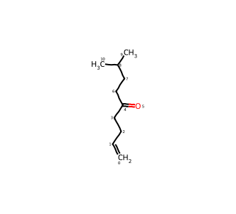 C=CC[CH]C(=O)CCC(C)C